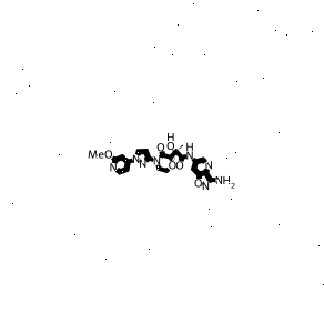 COc1cc(-n2ccc(N3CCO[C@H]([C@@](C)(O)C(=O)Nc4cnc5c(N)noc5c4)C3=O)n2)ccn1